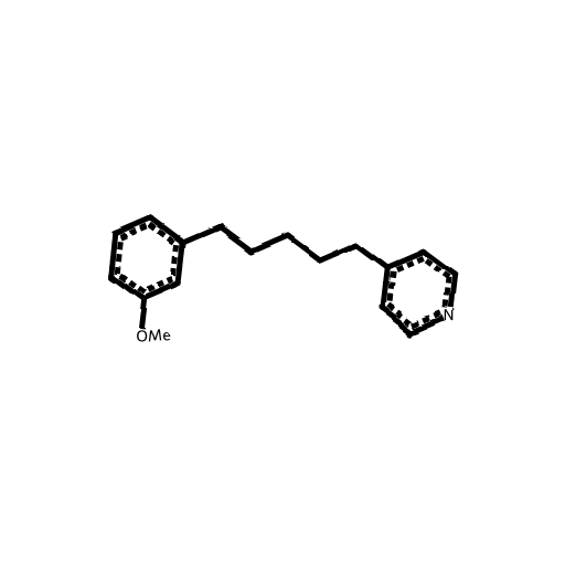 COc1cccc(CCCCCc2ccncc2)c1